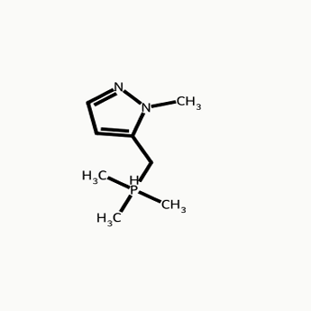 Cn1nccc1C[PH](C)(C)C